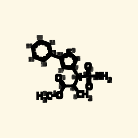 COC(=O)C(C)N(c1csc(-c2ccccc2)c1)S(N)(=O)=O